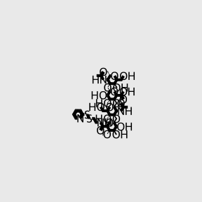 CO[C@@H]1C(C(=O)NCCSSc2ccccn2)O[C@@H](O[C@@H]2C(NC(C)=O)[C@H](O[C@@H]3C(C(=O)O)O[C@@H](O[C@@H]4C(NC(C)=O)[C@H](C)OC(CO)[C@H]4O)C(O)[C@H]3O)OC(CO)[C@H]2O)C(O)[C@H]1O